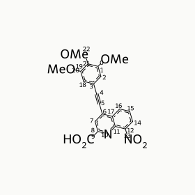 COc1cc(C#Cc2cc(C(=O)O)nc3c([N+](=O)[O-])cccc23)cc(OC)c1OC